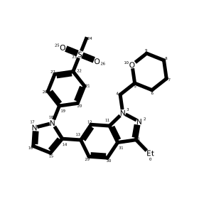 CCc1nn(CC2CCCCO2)c2cc(-c3ccnn3-c3ccc(S(C)(=O)=O)cc3)ccc12